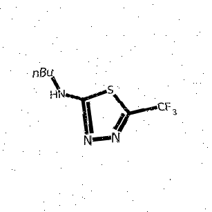 CCCCNc1nnc(C(F)(F)F)s1